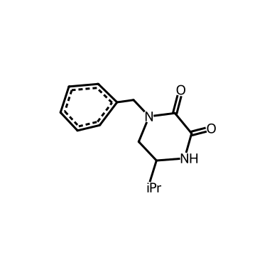 CC(C)C1CN(Cc2ccccc2)C(=O)C(=O)N1